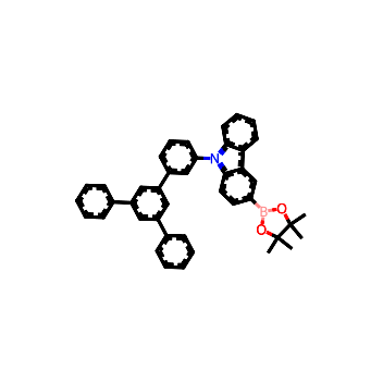 CC1(C)OB(c2ccc3c(c2)c2ccccc2n3-c2cccc(-c3cc(-c4ccccc4)cc(-c4ccccc4)c3)c2)OC1(C)C